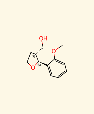 COc1ccccc1[C@H]1OCC[C@@H]1CO